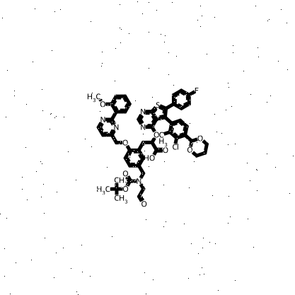 COc1ccccc1-c1nccc(COc2ccc(CN(CC=O)C(=O)OC(C)(C)C)cc2CC(Oc2ncnc3sc(-c4ccc(F)cc4)c(-c4ccc(C5OCCCO5)c(Cl)c4C)c23)C(=O)O)n1